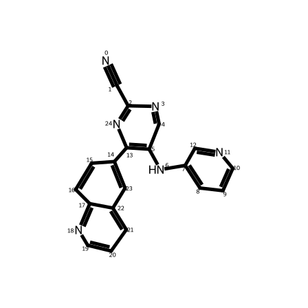 N#Cc1ncc(Nc2cccnc2)c(-c2ccc3ncccc3c2)n1